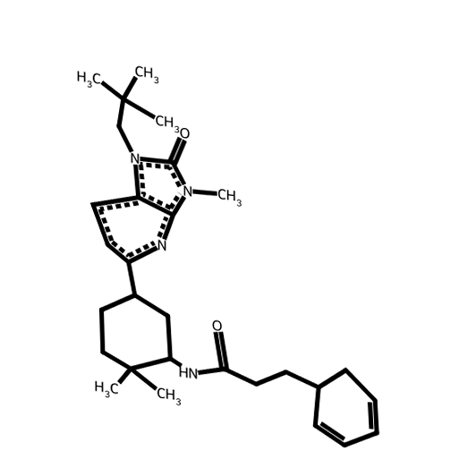 Cn1c(=O)n(CC(C)(C)C)c2ccc(C3CCC(C)(C)C(NC(=O)CCC4C=CC=CC4)C3)nc21